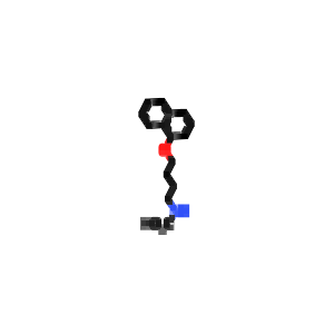 O=C(O)NCCCCOc1cccc2ccccc12